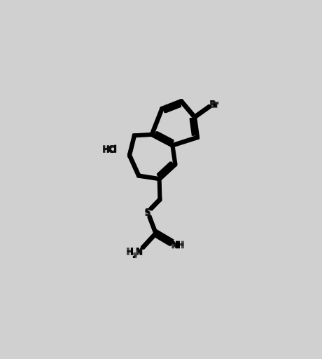 Cl.N=C(N)SCC1=Cc2cc(Br)ccc2CCC1